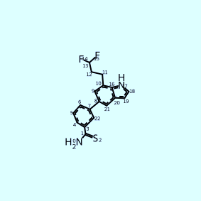 NC(=S)c1cccc(-c2cc(CCC(F)F)c3[nH]ccc3c2)c1